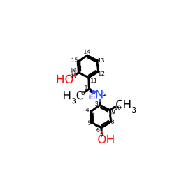 C/C(=N\c1ccc(O)cc1C)c1ccccc1O